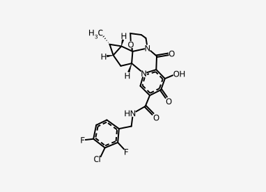 C[C@H]1[C@H]2C[C@H]3n4cc(C(=O)NCc5ccc(F)c(Cl)c5F)c(=O)c(O)c4C(=O)N4CCCO[C@]34[C@@H]12